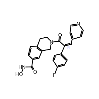 O=C(NO)c1ccc2c(c1)CN(C(=O)/C(=C\c1ccncc1)c1ccc(F)cc1)CC2